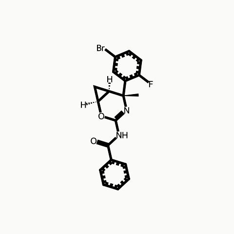 C[C@@]1(c2cc(Br)ccc2F)N=C(NC(=O)c2ccccc2)O[C@H]2C[C@H]21